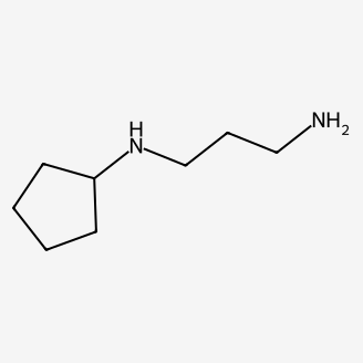 NCCCNC1CCCC1